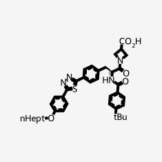 CCCCCCCOc1ccc(-c2nnc(-c3ccc(C[C@H](NC(=O)c4ccc(C(C)(C)C)cc4)C(=O)N4CC(C(=O)O)C4)cc3)s2)cc1